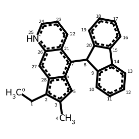 CCc1c(C)cc2c(C3c4ccccc4-c4ccccc43)c3ccc[nH]c3cc12